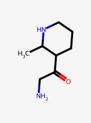 C[C]1NCCCC1C(=O)CN